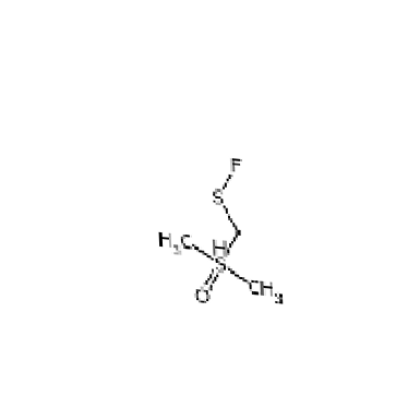 C[SH](C)(=O)CSF